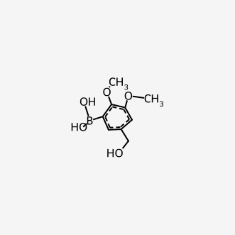 COc1cc(CO)cc(B(O)O)c1OC